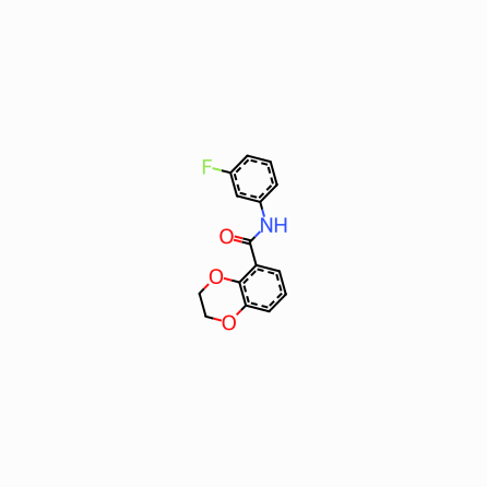 O=C(Nc1cccc(F)c1)c1cccc2c1OCCO2